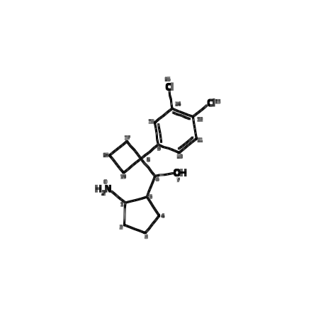 NC1CCCC1C(O)C1(c2ccc(Cl)c(Cl)c2)CCC1